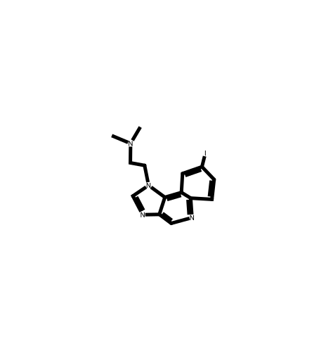 CN(C)CCn1cnc2cnc3ccc(I)cc3c21